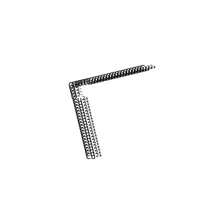 [Cu+2].[Cu+2].[Cu+2].[Cu+2].[Cu+2].[Cu+2].[Cu+2].[Cu+2].[Cu+2].[Cu+2].[Cu+2].[Cu+2].[Cu+2].[Cu+2].[Cu+2].[Cu+2].[Cu+2].[Cu+2].[Cu+2].[Cu+2].[Cu+2].[Cu+2].[Cu+2].[Cu+2].[Cu+2].[Cu+2].[Cu+2].[Cu+2].[Cu+2].[Cu+2].[Cu+2].[Cu+2].[Cu+2].[Cu+2].[Cu+2].[Cu+2].[Cu+2].[Cu+2].[Cu+2].[Cu+2].[Cu+2].[Cu+2].[O-2].[O-2].[O-2].[O-2].[O-2].[O-2].[O-2].[O-2].[O-2]